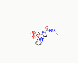 CC(OS(C)(=O)=O)c1nc(C(N)=O)ccc1-n1cccn1